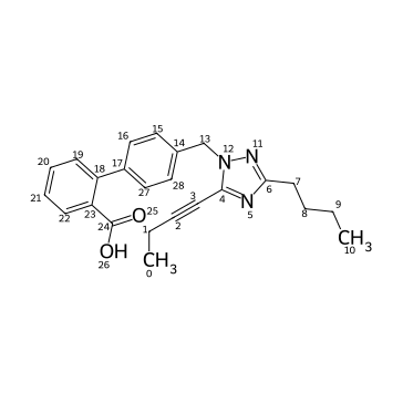 CCC#Cc1nc(CCCC)nn1Cc1ccc(-c2ccccc2C(=O)O)cc1